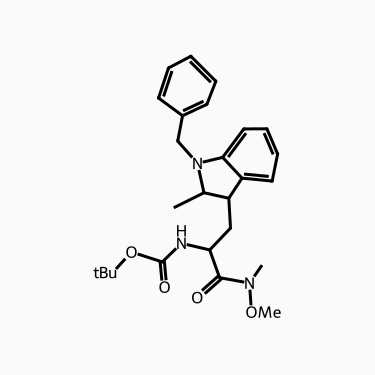 CON(C)C(=O)C(CC1c2ccccc2N(Cc2ccccc2)C1C)NC(=O)OC(C)(C)C